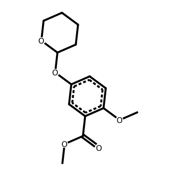 COC(=O)c1cc(OC2CCCCO2)ccc1OC